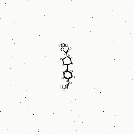 CC(C)(C)OC(=O)N1CCC(c2ccc(CN)cc2)CC1